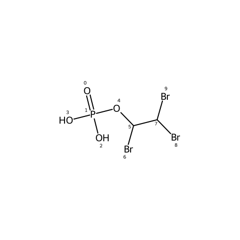 O=P(O)(O)OC(Br)C(Br)Br